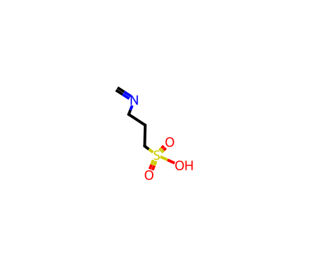 C=NCCCS(=O)(=O)O